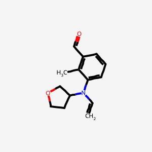 C=CN(c1cccc(C=O)c1C)C1CCOC1